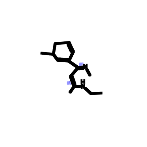 CCN/C(C)=C\C(=N/C)C1=CC(C)CC=C1